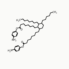 CCCCCCCCC1C(CCCCCC)CCC(CCCCCCCC(=O)Oc2ccc(N)cc2)C1CCCCCCCC(=O)Oc1ccc(N)cc1